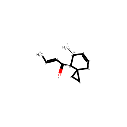 CC=CC(=O)[C@H]1[C@H](C)C=CCC12CC2